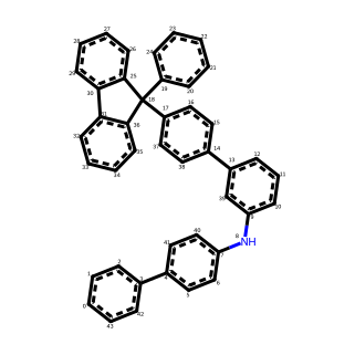 c1ccc(-c2ccc(Nc3cccc(-c4ccc(C5(c6ccccc6)c6ccccc6-c6ccccc65)cc4)c3)cc2)cc1